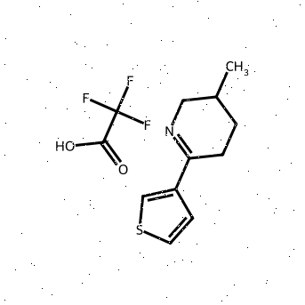 CC1CCC(c2ccsc2)=NC1.O=C(O)C(F)(F)F